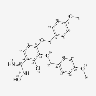 COc1ccc(COc2ccc(C(=N)NO)c(Cl)c2OCc2ccc(OC)cc2)cc1